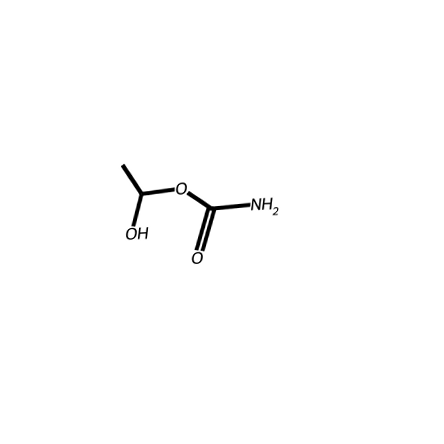 CC(O)OC(N)=O